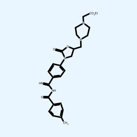 CCOC(=O)CN1CCN(CC2CN(c3ccc(C(=N)NC(=O)c4ccc(C)cc4)cc3)C(=O)O2)CC1